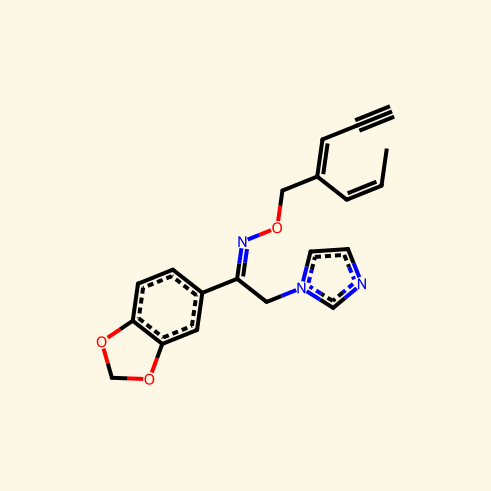 C#C/C=C(\C=C/C)CO/N=C(\Cn1ccnc1)c1ccc2c(c1)OCO2